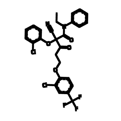 CCN(C(=O)C(C#N)(Oc1ccccc1Cl)C(=O)CCOc1ccc(C(F)(F)F)cc1Cl)c1ccccc1